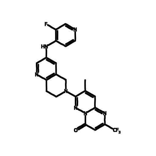 Cc1cc2nc(C(F)(F)F)cc(=O)n2nc1N1CCc2ncc(Nc3ccncc3F)cc2C1